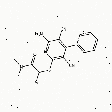 CC(=O)C(Sc1nc(N)c(C#N)c(-c2ccccc2)c1C#N)C(=O)N(C)C